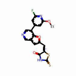 CCOc1cc(-c2cncc3cc(/C=C4/SC(=S)NC4=O)oc23)cc(F)n1